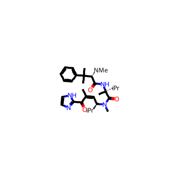 CN[C@H](C(=O)N[C@](C)(C(=O)N(C)[C@H](C=C(C)C(=O)c1ncc[nH]1)C(C)C)C(C)C)C(C)(C)c1ccccc1